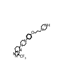 FC(F)(F)c1nnc2n1N=C(N1CCN(c3ccc(OCCCN4CCNCC4)cc3)CC1)CC2